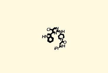 CC(C)NCC(=O)N1CCC(Nc2ncc(Cl)c(-c3c[nH]c4ccccc34)n2)CC1